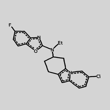 CCN(c1nc2cc(F)ccc2o1)C1CCc2cc3ccc(Cl)cn3c2C1